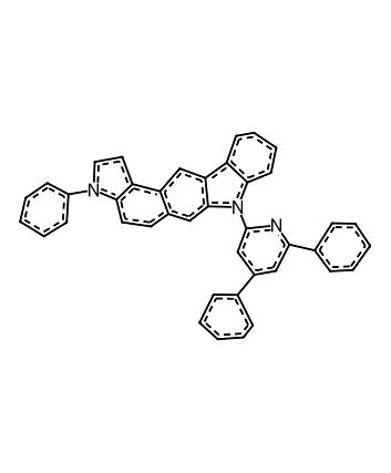 c1ccc(-c2cc(-c3ccccc3)nc(-n3c4ccccc4c4cc5c(ccc6c5ccn6-c5ccccc5)cc43)c2)cc1